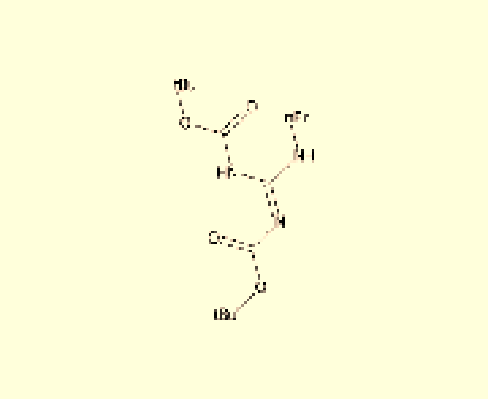 CCCN/C(=N/C(=O)OC(C)(C)C)NC(=O)OC(C)(C)C